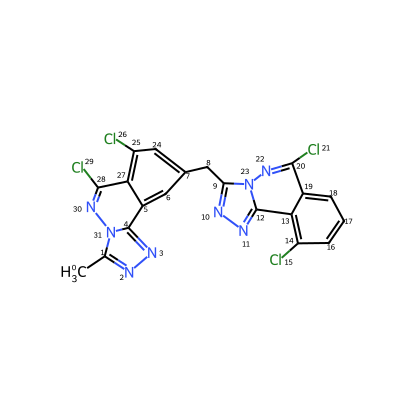 Cc1nnc2c3cc(Cc4nnc5c6c(Cl)cccc6c(Cl)nn45)cc(Cl)c3c(Cl)nn12